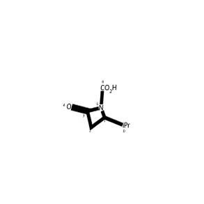 CC(C)C1CC(=O)N1C(=O)O